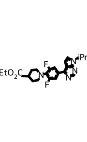 CCOC(=O)CC1CCN(c2c(F)cc(-c3ncnc4c3ccn4C(C)C)cc2F)CC1